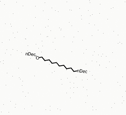 CCCCCCCCCCCC[CH]CCCCCCCOCCCCCCCCCC